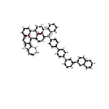 C1=Cc2oc3cccc(-c4ccc(N(c5ccc(-c6ccc(-c7cccc(-c8ccc9ccccc9c8)c7)cc6)cc5)c5ccccc5-c5ccc(-c6ccccc6)cc5)cc4)c3c2CC1